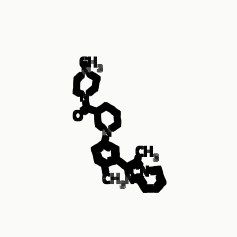 Cc1ccc(N2CCCC(C(=O)N3CCN(C)CC3)C2)cc1-c1nc2ccccn2c1C